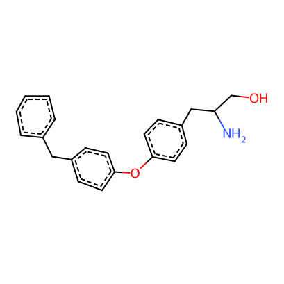 NC(CO)Cc1ccc(Oc2ccc(Cc3ccccc3)cc2)cc1